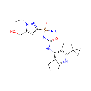 CCn1nc(S(N)(=O)=NC(=O)Nc2c3c(nc4c2CCC42CC2)CCC3)cc1CO